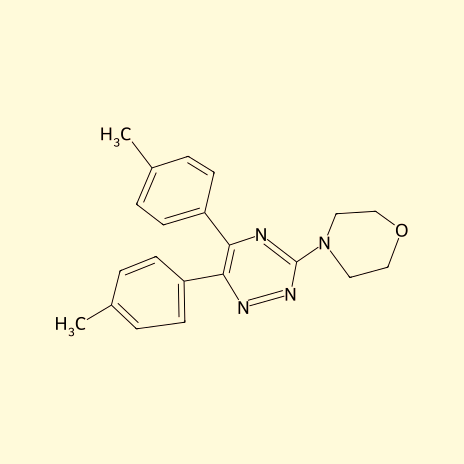 Cc1ccc(-c2nnc(N3CCOCC3)nc2-c2ccc(C)cc2)cc1